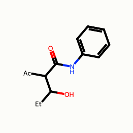 CCC(O)C(C(C)=O)C(=O)Nc1ccccc1